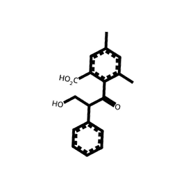 Cc1cc(C)c(C(=O)C(CO)c2ccccc2)c(C(=O)O)c1